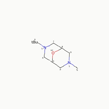 CN1CC2CN(C(C)(C)C)CC(C1)O2